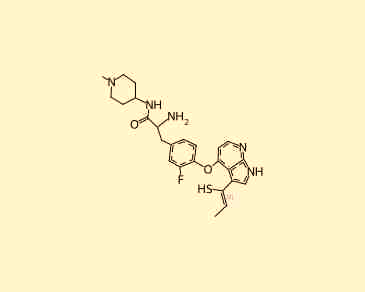 C/C=C(\S)c1c[nH]c2nccc(Oc3ccc(CC(N)C(=O)NC4CCN(C)CC4)cc3F)c12